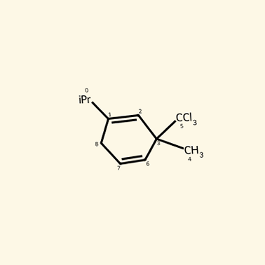 CC(C)C1=CC(C)(C(Cl)(Cl)Cl)C=CC1